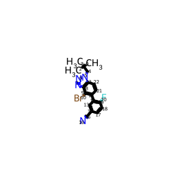 CC(C)(C)Cn1nnc2c(Br)c(-c3cc(C#N)ccc3F)ccc21